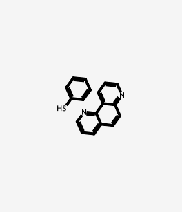 Sc1ccccc1.c1cnc2c(c1)ccc1ncccc12